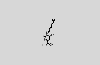 CCC1=CC(C(O)O)=NC(C)N1/N=C/C=C/CCN